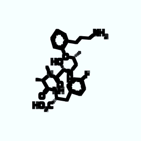 C[C@H](CN[C@@H](O)C(=O)N(C)[C@H](C)C(=O)N[C@H](Cc1ccc(F)cc1)C(=O)O)Oc1ccccc1CCCN